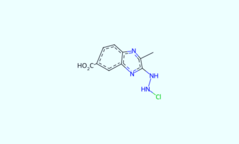 Cc1nc2ccc(C(=O)O)cc2nc1NNCl